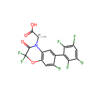 C[C@@H](C(=O)O)N1C(=O)C(F)(F)Oc2cc(F)c(-c3c(F)c(F)cc(F)c3F)cc21